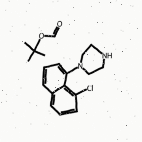 CC(C)(C)OC=O.Clc1cccc2cccc(N3CCNCC3)c12